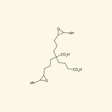 CCCC1OC1CCCC(CCCC(=O)O)(CCCC1OC1CCC)C(=O)O